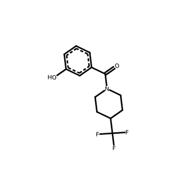 O=C(c1cccc(O)c1)N1CCC(C(F)(F)F)CC1